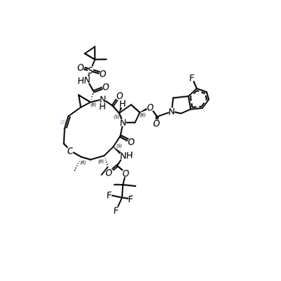 CC[C@@H]1C[C@H](C)CC/C=C\C2C[C@@]2(C(=O)NS(=O)(=O)C2(C)CC2)NC(=O)[C@@H]2C[C@@H](OC(=O)N3Cc4cccc(F)c4C3)CN2C(=O)[C@H]1NC(=O)OC(C)(C)C(F)(F)F